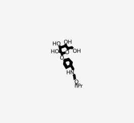 CCCOCCNCc1ccc(OC2OC(CO)C(O)C(O)C2O)cc1